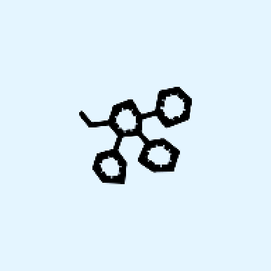 CCc1ccc(-c2ccccc2)c(-c2ccccc2)c1-c1ccccc1